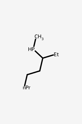 CCCCCC(CC)PC